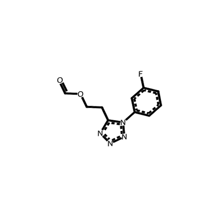 O=COCCc1nnnn1-c1cccc(F)c1